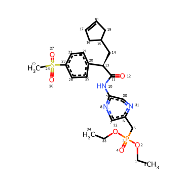 CCOP(=O)(Cc1cnc(NC(=O)[C@H](CC2CC=CC2)c2ccc(S(C)(=O)=O)cc2)cn1)OCC